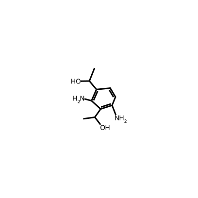 CC(O)c1ccc(N)c(C(C)O)c1N